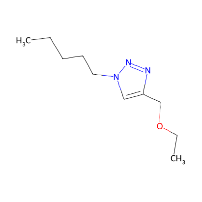 CCCCCn1cc(COCC)nn1